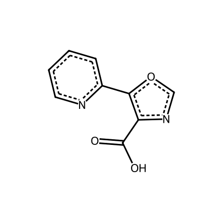 O=C(O)c1ncoc1-c1ccccn1